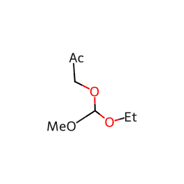 CCOC(OC)OCC(C)=O